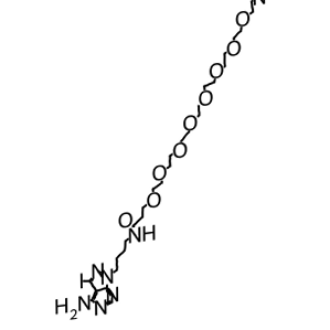 [N-]=[N+]=NCCOCCOCCOCCOCCOCCOCCOCCOCCC(=O)NCCCCn1nc(I)c2c(N)ncnc21